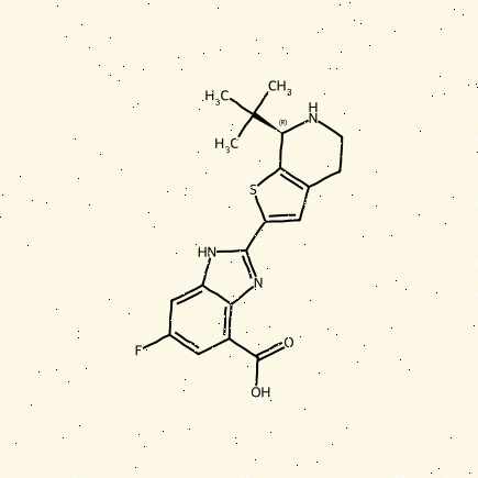 CC(C)(C)[C@H]1NCCc2cc(-c3nc4c(C(=O)O)cc(F)cc4[nH]3)sc21